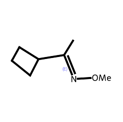 CO/N=C(\C)C1CCC1